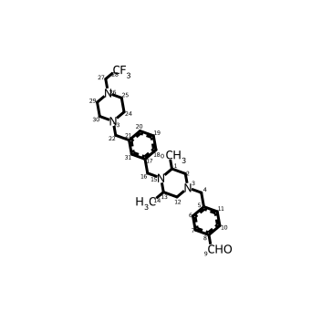 CC1CN(Cc2ccc(C=O)cc2)CC(C)N1Cc1cccc(CN2CCN(CC(F)(F)F)CC2)c1